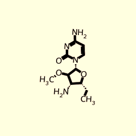 CC[C@H]1O[C@@H](n2ccc(N)nc2=O)C(OC)[C@H]1N